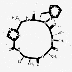 CC[C@H]1NC(=O)c2csc(n2)[C@H](C)NC(=O)[C@H](Cc2ccccc2)N(C)C(=O)[C@H](C(C)C)N(C)C(=O)[C@H](C)OC(=O)[C@H]1C